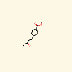 CCC(=O)C=Cc1ccc(C(=O)OC)cc1